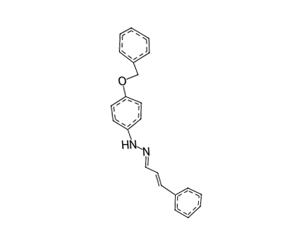 C(=Cc1ccccc1)C=NNc1ccc(OCc2ccccc2)cc1